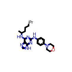 CC(C)CCCC(C)Nc1nc(Nc2ccc(N3CCOCC3)cc2)nc2[nH]cnc12